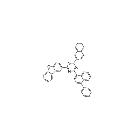 c1ccc(-c2ccc(-c3nc(-c4ccc5ccccc5c4)nc(-c4ccc5oc6ccccc6c5c4)n3)c3ccccc23)cc1